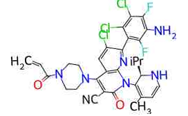 C=CC(=O)N1CCN(c2c(C#N)c(=O)n(C3=C(C)C=CN[C@@H]3C(C)C)c3nc(-c4c(F)c(N)c(F)c(Cl)c4Cl)c(Cl)cc23)CC1